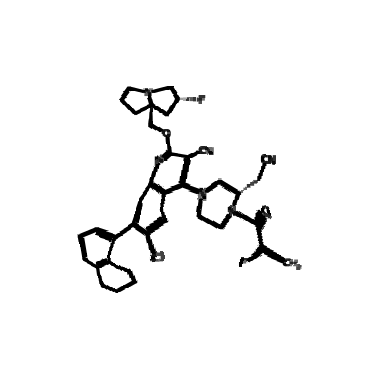 C=C(F)C(=O)N1CCN(C2=C(C#N)C(OC[C@@]34CCCN3C[C@H](F)C4)=NC3C=C(c4cccc5c4CCCC5)C(Cl)=CC23)C[C@@H]1CC#N